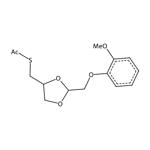 COc1ccccc1OCC1OCC(CSC(C)=O)O1